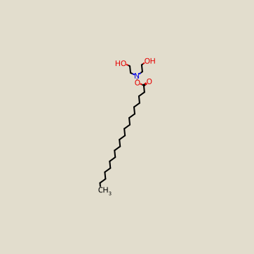 CCCCCCCCCCCCCCCCCCCC(=O)ON(CCO)CCO